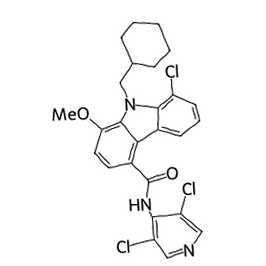 COc1ccc(C(=O)Nc2c(Cl)cncc2Cl)c2c3cccc(Cl)c3n(CC3CCCCC3)c12